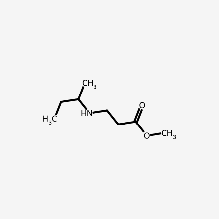 CCC(C)NCCC(=O)OC